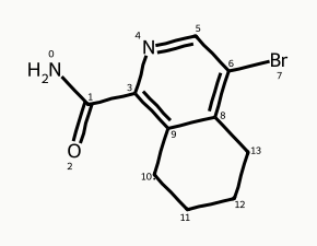 NC(=O)c1ncc(Br)c2c1[CH]CCC2